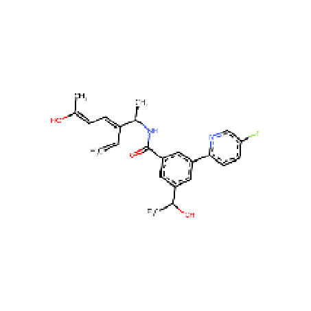 C=C/C(=C\C=C(/C)O)[C@@H](C)NC(=O)c1cc(-c2ccc(F)cn2)cc(C(O)C(F)(F)F)c1